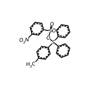 Cc1ccc(S(OS(=O)(=O)c2cccc([N+](=O)[O-])c2)(c2ccccc2)c2ccccc2)cc1